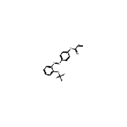 C=CC(=O)Oc1ccc(N=Nc2ccccc2OC(F)(F)F)cc1